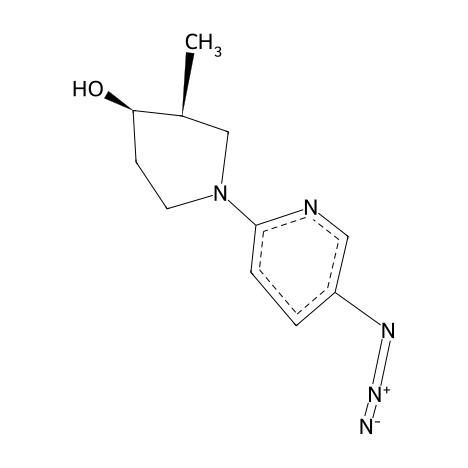 C[C@H]1CN(c2ccc(N=[N+]=[N-])cn2)CC[C@H]1O